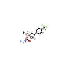 CC(C)(CCc1ccc(C(F)(F)F)cc1)OC(N)=O